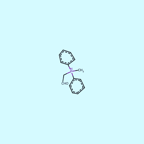 C[PH](CC=O)(c1ccccc1)c1ccccc1